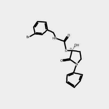 O=C(NCc1cccc(Br)c1)O[C@@]1(O)CCN(c2ccccc2)C1=O